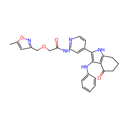 Cc1cc(COCC(=O)Nc2cc(-c3[nH]c4c(c3Nc3ccccc3)C(=O)CCC4)ccn2)no1